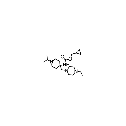 CCN1CCN(CC2(NC(=O)OCC3CC3)CCN(C(C)C)CC2)CC1